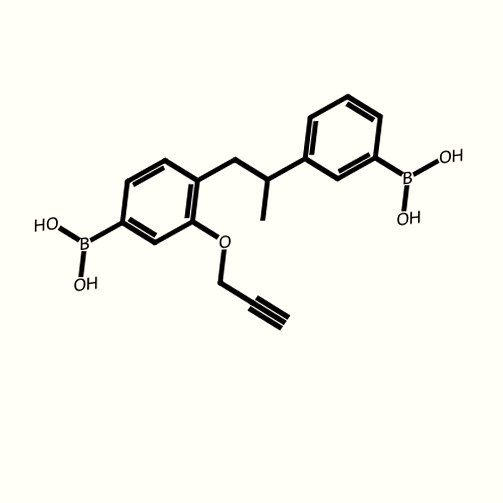 C#CCOc1cc(B(O)O)ccc1CC(C)c1cccc(B(O)O)c1